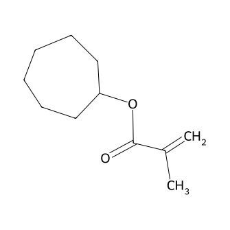 C=C(C)C(=O)OC1CCCCCC1